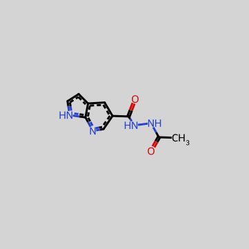 CC(=O)NNC(=O)c1cnc2[nH]ccc2c1